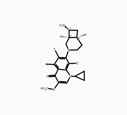 Cc1c(F)c(N2CC[C@@H]3C[C@H](N)[C@@H]3C2)c(Cl)c2c1c(=O)c(OC(=O)O)cn2C1CC1